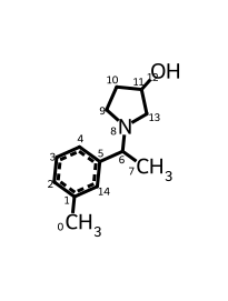 Cc1cccc(C(C)N2CCC(O)C2)c1